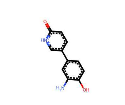 Nc1cc(-c2ccc(=O)[nH]c2)ccc1O